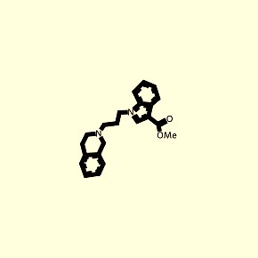 COC(=O)c1cn(CCCN2CCc3ccccc3C2)c2ccccc12